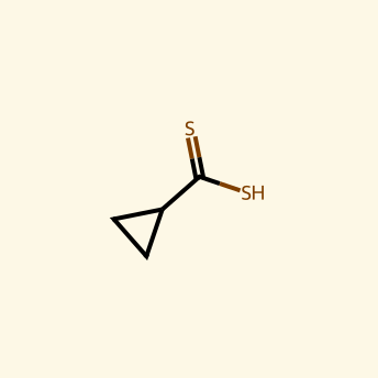 S=C(S)C1CC1